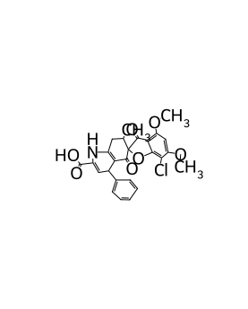 COc1cc(OC)c2c(c1Cl)OC1(C(=O)C3=C(CC1C)NC(C(=O)O)=CC3c1ccccc1)C2=O